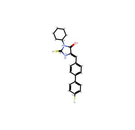 O=C1/C(=C/c2ccc(-c3ccc(F)cc3)cc2)NC(=S)N1C1CCCCC1